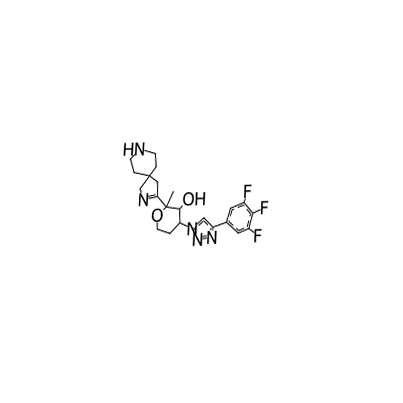 CC1(C2=NCC3(CCNCC3)C2)OCCC(n2cc(-c3cc(F)c(F)c(F)c3)nn2)C1O